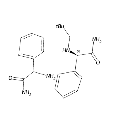 CC(C)(C)CN[C@@H](C(N)=O)c1ccccc1.NC(=O)C(N)c1ccccc1